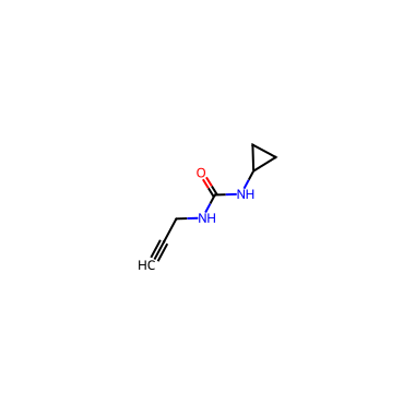 C#CCNC(=O)NC1CC1